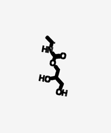 C[CH]NC(=O)OCC(O)CO